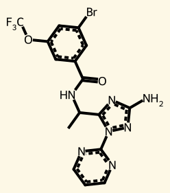 CC(NC(=O)c1cc(Br)cc(OC(F)(F)F)c1)c1nc(N)nn1-c1ncccn1